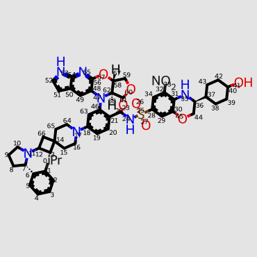 CC(C)c1ccccc1[C@@H]1CCCN1C1CC2(CCN(c3ccc(C(=O)NS(=O)(=O)c4cc5c(c([N+](=O)[O-])c4)N[C@@H](C4CCC(O)CC4)CO5)c(N4c5cc6cc[nH]c6nc5O[C@@H]5COC[C@H]54)c3)CC2)C1